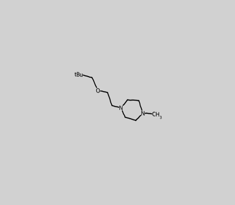 CN1CCN(CCOCC(C)(C)C)CC1